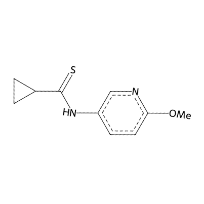 COc1ccc(NC(=S)C2CC2)cn1